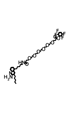 CCCCCc1cc2c(CCCCCNC(=O)CCOCCOCCOCCOCCOCCOCCC(=O)Oc3c(F)c(F)cc(F)c3F)cccc2nc1N